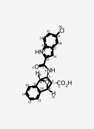 O=C(N[C@H]1[C@H](C(=O)O)[C@H]2O[C@@H]1c1ccccc12)c1cc2cc(Cl)ccc2[nH]1